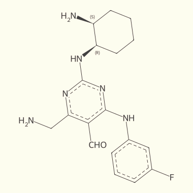 NCc1nc(N[C@@H]2CCCC[C@@H]2N)nc(Nc2cccc(F)c2)c1C=O